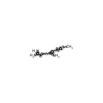 CCCCOc1ccc(OC(=O)/C=C/c2ccc(OCCCCCCOC(=O)c3cc(N)cc(N)c3)c(OC)c2)cc1